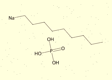 CCCCCCCC[CH2][Na].O=P(O)(O)O